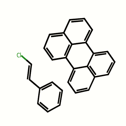 ClC=Cc1ccccc1.c1cc2cccc3c4cccc5cccc(c(c1)c23)c54